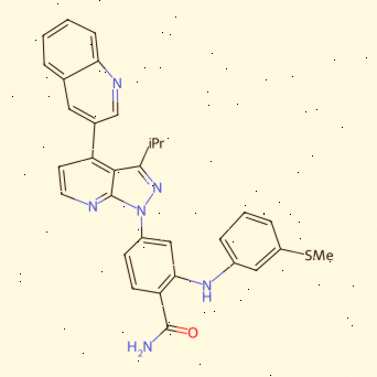 CSc1cccc(Nc2cc(-n3nc(C(C)C)c4c(-c5cnc6ccccc6c5)ccnc43)ccc2C(N)=O)c1